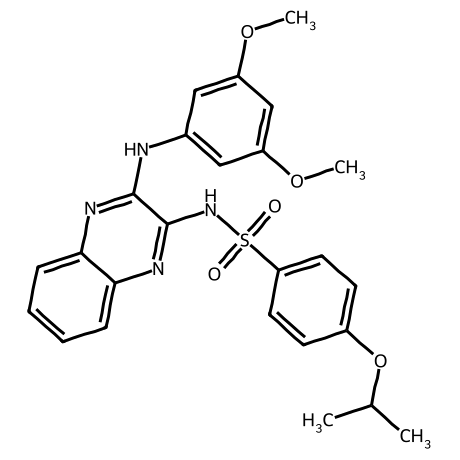 COc1cc(Nc2nc3ccccc3nc2NS(=O)(=O)c2ccc(OC(C)C)cc2)cc(OC)c1